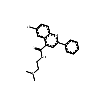 CN(C)CCNC(=O)c1cc(-c2ccccc2)nc2ccc(Cl)cc12